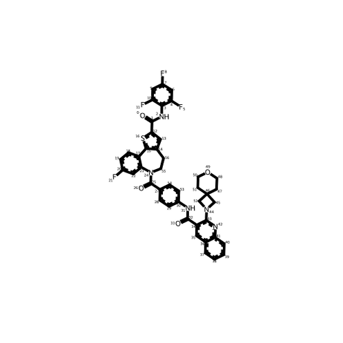 O=C(Nc1c(F)cc(F)cc1F)c1cc2c(s1)-c1ccc(F)cc1N(C(=O)c1ccc(NC(=O)c3cc4ccccc4nc3N3CC4(CCOCC4)C3)cc1)CC2